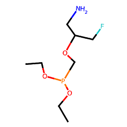 CCOP(COC(CN)CF)OCC